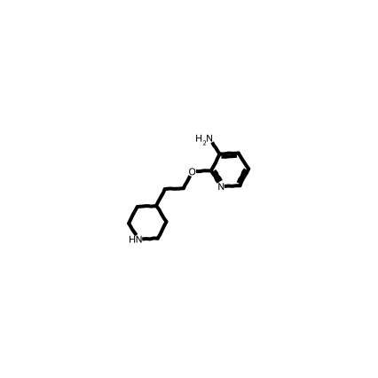 Nc1cccnc1OCCC1CCNCC1